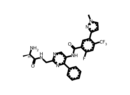 C[C@@H](N)C(=O)NCc1ncc(NC(=O)c2cc(-c3ccn(C)n3)c(C(F)(F)F)cc2F)c(-c2ccccc2)n1